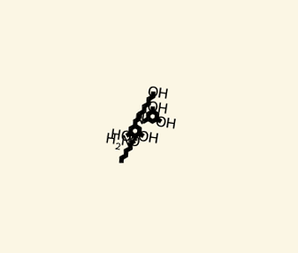 CCCCCC(N)OC1C(O)CC(CN(CCCCCCO)CC2CC(O)CC(O)C2)CC1O